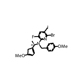 COC1=CC=C([C@@H](C)N(Cc2ccc(OC)cc2)c2nc(Br)c(I)cc2F)C1